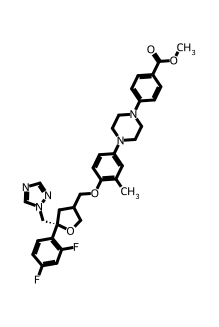 COC(=O)c1ccc(N2CCN(c3ccc(OCC4CO[C@@](Cn5cncn5)(c5ccc(F)cc5F)C4)c(C)c3)CC2)cc1